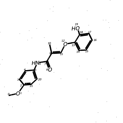 COc1ccc(NC(=O)/C(C)=C/Oc2ccccc2O)cc1